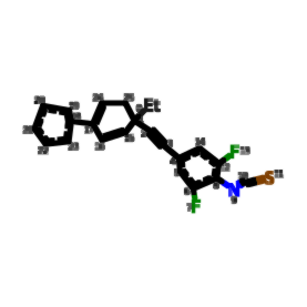 CCC1(C#Cc2cc(F)c(N=C=S)c(F)c2)C=CC(c2ccccc2)=CC1